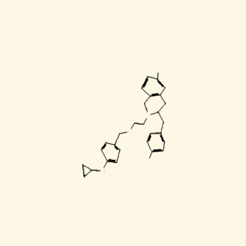 Fc1ccc(CC2Cc3cc(F)ccc3CN2CCNCc2ccc(NC3CC3)cc2)cc1